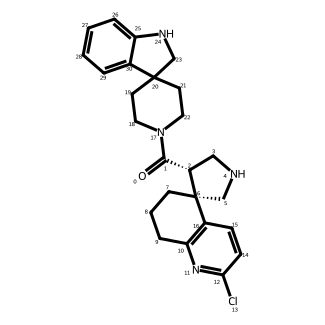 O=C([C@@H]1CNC[C@]12CCCc1nc(Cl)ccc12)N1CCC2(CC1)CNc1ccccc12